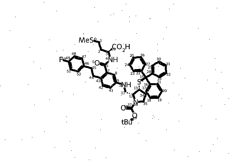 CSCC[C@H](NC(=O)c1cc(NC[C@@H]2[C@H](SC(c3ccccc3)(c3ccccc3)c3ccccc3)CCN2C(=O)OC(C)(C)C)ccc1CCc1ccc(F)cc1)C(=O)O